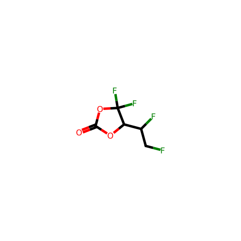 O=C1OC(C(F)CF)C(F)(F)O1